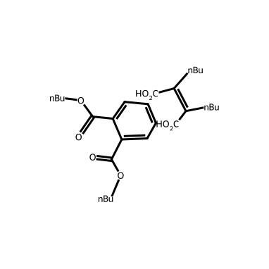 CCCC/C(C(=O)O)=C(\CCCC)C(=O)O.CCCCOC(=O)c1ccccc1C(=O)OCCCC